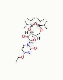 CCOc1ccn([C@@H]2O[C@@H]3CO[Si](C(C)C)(C(C)C)O[Si](C(C)C)(C(C)C)O[C@@H]3C2=O)c(=O)n1